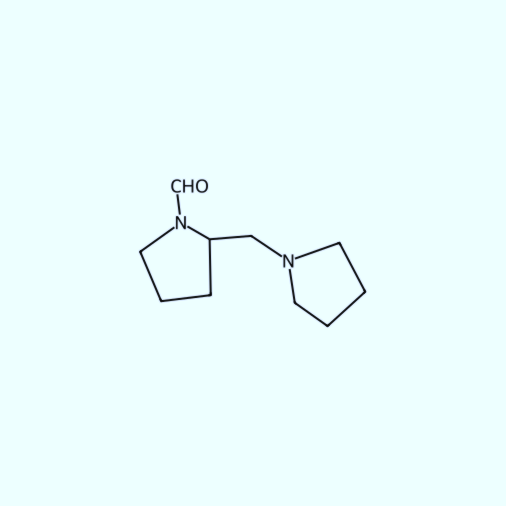 O=CN1CCCC1CN1CCCC1